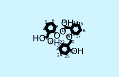 O=C(O)c1ccccc1O.O=C(O)c1ccccc1OCc1ccccc1O